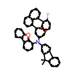 CC1(C)c2ccccc2-c2ccc(N(c3cccc(-c4cccc5cccc(-c6ccccc6F)c45)c3)c3cccc4c3oc3ccccc34)cc21